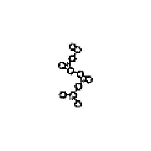 c1ccc(-c2cc(-c3ccc(-n4c5ccccc5c5ccc(-c6ccc7c8ccccc8n(-c8ccc(-c9cccc%10ccccc9%10)cc8)c7c6)cc54)cc3)cc(-c3ccccc3)n2)cc1